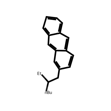 CCCCC(CC)Cc1ccc2cc3ccccc3cc2c1